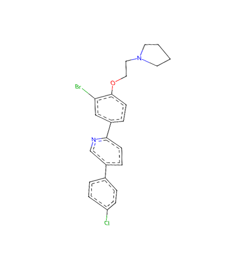 Clc1ccc(-c2ccc(-c3ccc(OCCN4CCCC4)c(Br)c3)nc2)cc1